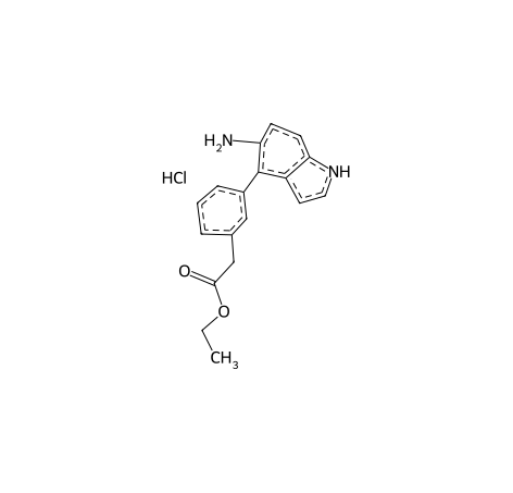 CCOC(=O)Cc1cccc(-c2c(N)ccc3[nH]ccc23)c1.Cl